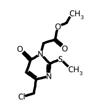 CCOC(=O)Cn1c(SC)nc(CCl)cc1=O